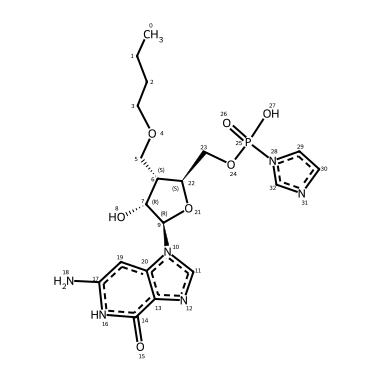 CCCCOC[C@H]1[C@@H](O)[C@H](n2cnc3c(=O)[nH]c(N)cc32)O[C@@H]1COP(=O)(O)n1ccnc1